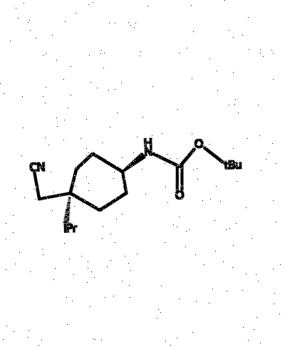 CC(C)[C@]1(CC#N)CC[C@@H](NC(=O)OC(C)(C)C)CC1